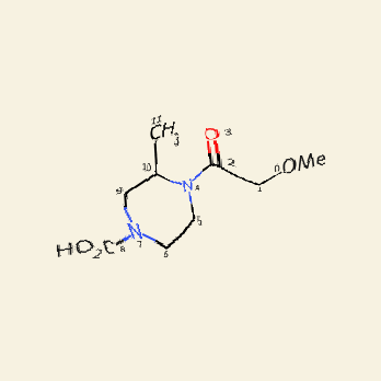 COCC(=O)N1CCN(C(=O)O)CC1C